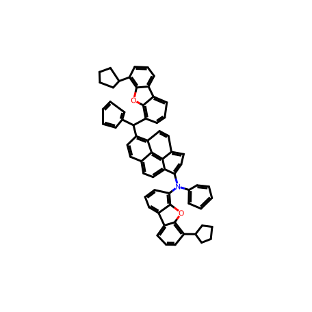 c1ccc(C(c2ccc3ccc4c(N(c5ccccc5)c5cccc6c5oc5c(C7CCCC7)cccc56)ccc5ccc2c3c54)c2cccc3c2oc2c(C4CCCC4)cccc23)cc1